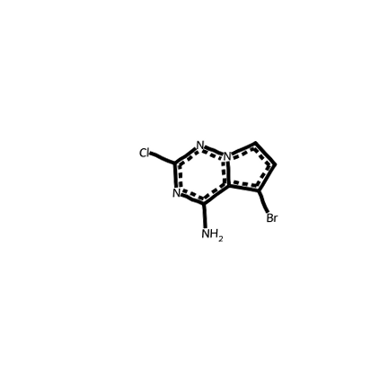 Nc1nc(Cl)nn2ccc(Br)c12